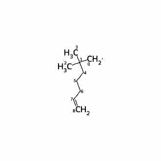 [CH2]C(C)(C)CCCC=C